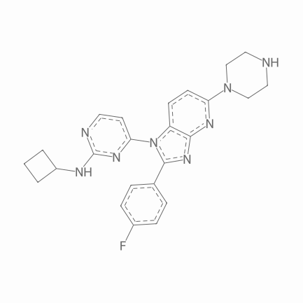 Fc1ccc(-c2nc3nc(N4CCNCC4)ccc3n2-c2ccnc(NC3CCC3)n2)cc1